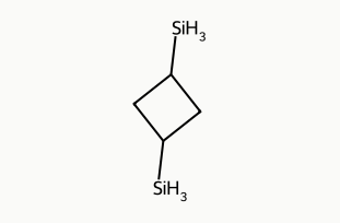 [SiH3]C1CC([SiH3])C1